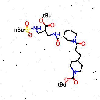 CCCCS(=O)(=O)NC[C@H](CNC(=O)[C@@H]1CCCN(C(=O)CCC2CCN(C(=O)OC(C)(C)C)CC2)C1)C(=O)OC(C)(C)C